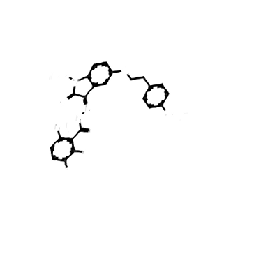 CCCCCCN1C(=O)C(=NNC(=O)c2c(N)ccc(Cl)c2Cl)c2cc(SCCc3ccc(C(=O)O)cc3)ccc21